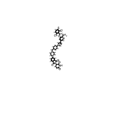 C[C@@H](Oc1cc(-c2cnn(C3CCC(CN4CCN(c5ccc6c(c5)C(=O)N(C5CCC(=O)NC5=O)C6=O)CC4)CC3)c2)cnc1N)c1c(Cl)ccc(F)c1Cl